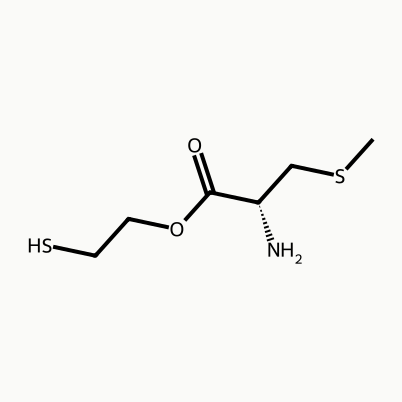 CSC[C@H](N)C(=O)OCCS